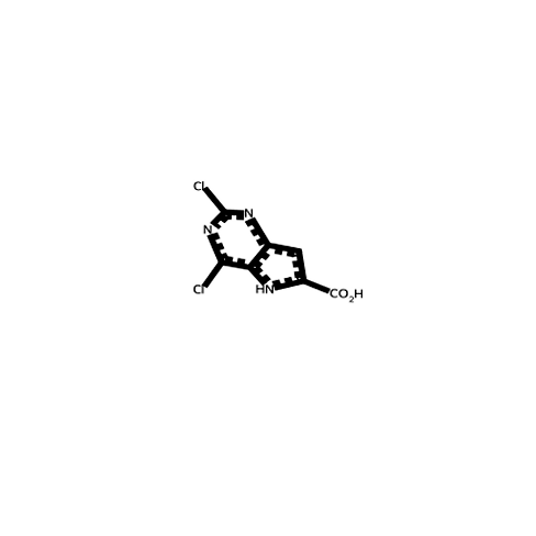 O=C(O)c1cc2nc(Cl)nc(Cl)c2[nH]1